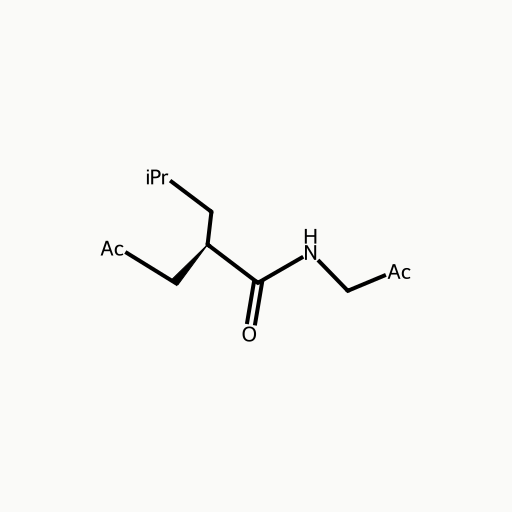 CC(=O)CNC(=O)[C@@H](CC(C)=O)CC(C)C